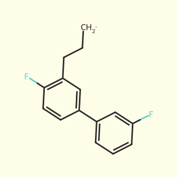 [CH2]CCc1cc(-c2cccc(F)c2)ccc1F